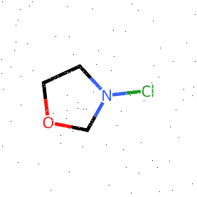 ClN1CCOC1